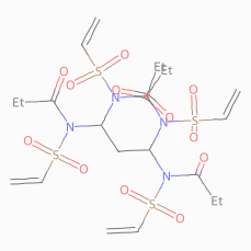 C=CS(=O)(=O)N(C(=O)CC)C(CC(N(C(=O)CC)S(=O)(=O)C=C)N(C(=O)CC)S(=O)(=O)C=C)N(C(=O)CC)S(=O)(=O)C=C